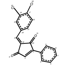 O=C1C=C(c2ccccc2)C(=O)C1=Cc1ccc(Cl)c(Cl)c1